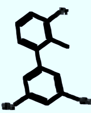 Cc1c(-c2cc(C(C)(C)C)cc(C(C)(C)C)c2)cccc1C(C)C